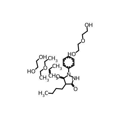 C=CC.CCCCC1C(=O)NN(c2ccccc2)C1=O.CCOCC.OCCO.OCCOCCO